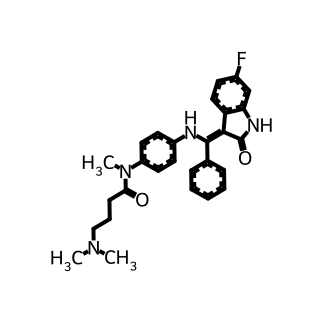 CN(C)CCCC(=O)N(C)c1ccc(NC(=C2C(=O)Nc3cc(F)ccc32)c2ccccc2)cc1